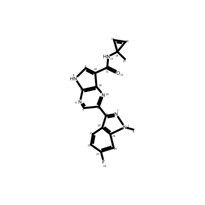 Cn1nc(-c2cnc3[nH]cc(C(=O)NC4(C)C=C4)c3n2)c2ccc(F)cc21